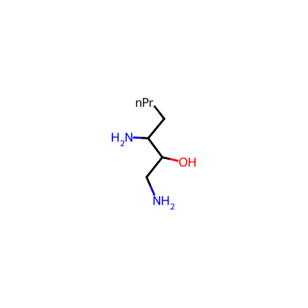 CCCCC(N)C(O)CN